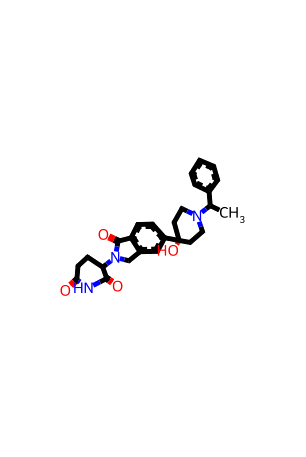 CC(c1ccccc1)N1CCC(O)(c2ccc3c(c2)CN(C2CCC(=O)NC2=O)C3=O)CC1